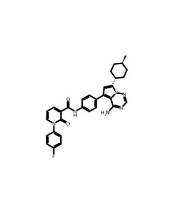 C[C@H]1CC[C@H](c2cc(-c3ccc(NC(=O)c4cccn(-c5ccc(F)cc5)c4=O)cc3)c3c(N)ncnn32)CC1